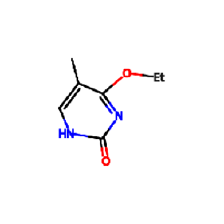 CCOc1nc(=O)[nH]cc1C